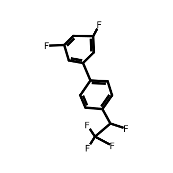 Fc1cc(F)cc(-c2ccc(C(F)C(F)(F)F)cc2)c1